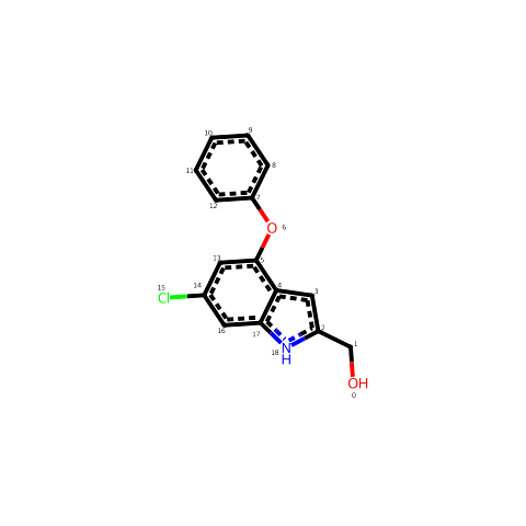 OCc1cc2c(Oc3ccccc3)cc(Cl)cc2[nH]1